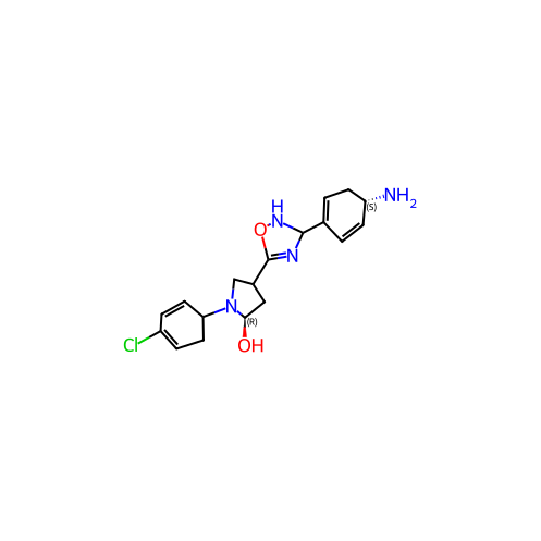 N[C@@H]1C=CC(C2N=C(C3C[C@@H](O)N(C4C=CC(Cl)=CC4)C3)ON2)=CC1